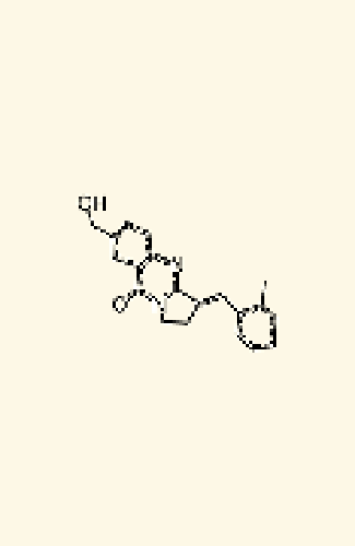 Cc1ccccc1C=C1CCn2c1nc1ccc(CO)cc1c2=O